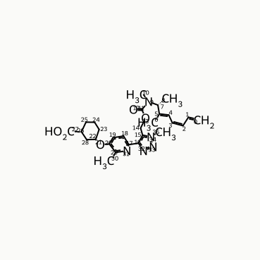 C=C/C=C\C=C(/C)[C@@H](C)N(C)C(=O)OCc1c(-c2ccc(O[C@H]3CCC[C@H](C(=O)O)C3)c(C)n2)nnn1C